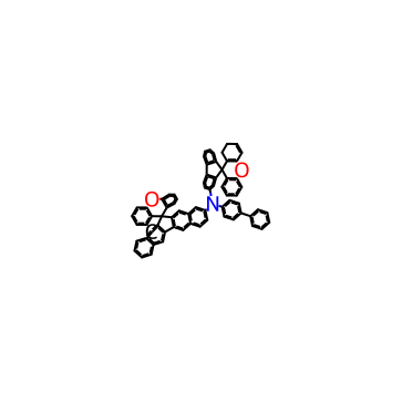 C1=CC2=C(CC1)C1(c3ccccc3O2)c2ccccc2-c2ccc(N(c3ccc(-c4ccccc4)cc3)c3ccc4cc5c(cc4c3)C3(c4ccccc4Oc4ccccc43)c3cc4ccccc4cc3-5)cc21